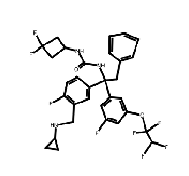 O=C(NC1CC(F)(F)C1)NC(Cc1ccccc1)(c1cc(F)cc(OC(F)(F)C(F)F)c1)c1ccc(F)c(CNC2CC2)c1